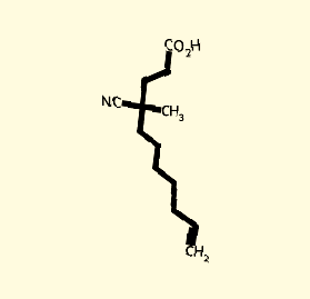 C=CCCCCCC(C)(C#N)CCC(=O)O